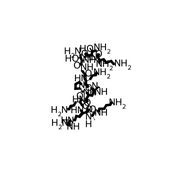 C[C@H](NC(=O)/C(=C/CCNC(=N)N)NC(=O)[C@H](CCCCN)NC(=O)C(Cc1cnc[nH]1)NC(=O)[C@@H]1CCCN1C(=O)[C@@H](CCCN)NC(=O)CNC(=O)[C@@H](NC(=O)[C@@H](NC(=O)C(N)CCCCN)[C@@H](O)CN)[C@@H](O)CN)C(=O)NCCCCN